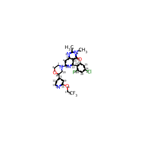 Cc1nc2cc(N3CCO[C@H](c4ccnc(OCC(F)(F)F)c4)C3)nc(-c3ccc(Cl)cc3F)c2c(=O)n1C